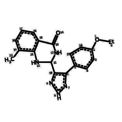 CCOc1ccc(-c2n[nH]nc2C2NC(=O)c3cccc(C)c3N2)cc1